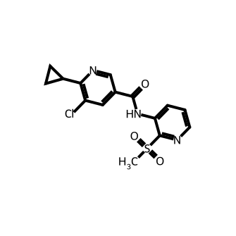 CS(=O)(=O)c1ncccc1NC(=O)c1cnc(C2CC2)c(Cl)c1